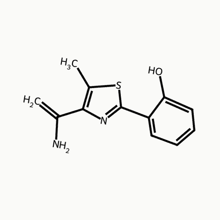 C=C(N)c1nc(-c2ccccc2O)sc1C